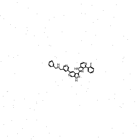 Fc1ccccc1-c1nccc2[nH]c(-c3n[nH]c4cnc(-c5cncc(CNCc6ccccc6)c5)cc34)nc12